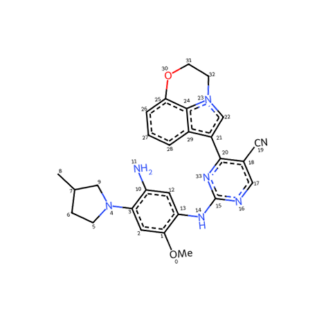 COc1cc(N2CCC(C)C2)c(N)cc1Nc1ncc(C#N)c(-c2cn3c4c(cccc24)OCC3)n1